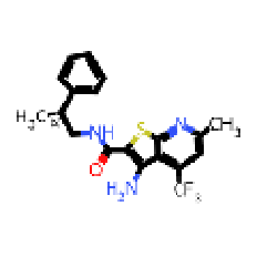 Cc1cc(C(F)(F)F)c2c(N)c(C(=O)NC[C@@H](C)c3ccccc3)sc2n1